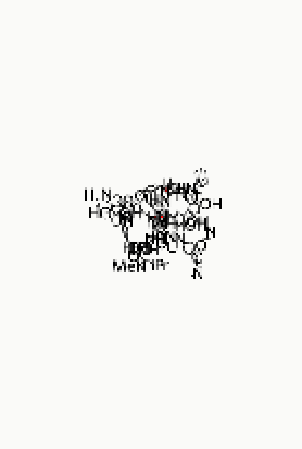 CN[C@H](CC(C)C)C(=O)N[C@H]1C(=O)N[C@@H](CC(=O)NC(=O)Nc2ccc(OCCN(C)C)c(OCCN(C)C)c2)C(=O)N[C@H]2C(=O)N[C@H]3C(=O)N[C@H](C(=O)N[C@H](C(=O)NC4C5CC6CC(C5)CC4C6)c4cc(O)cc(O)c4-c4cc3ccc4O)[C@H](O)c3ccc(c(Cl)c3)Oc3cc2cc(c3O[C@@H]2O[C@H](CN)[C@@H](O)[C@H](O)[C@H]2O)Oc2ccc(cc2C)[C@H]1O